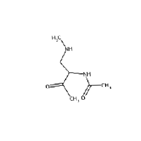 CNCC(NC(C)=O)C(C)=O